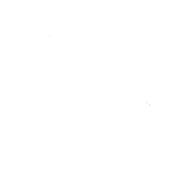 CC1(C)c2ccccc2-c2ccc(-c3ccc(C(c4ccc(F)cc4)c4ccc5c(c4)c4ccccc4n5-c4ccccc4)cc3)cc21